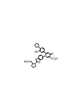 CCOC(=O)c1cn(-c2ccc3nc(N4CCCC4COC)oc3c2)c(-c2ccc(N3CCCC3)c(C#N)c2)cc1=O